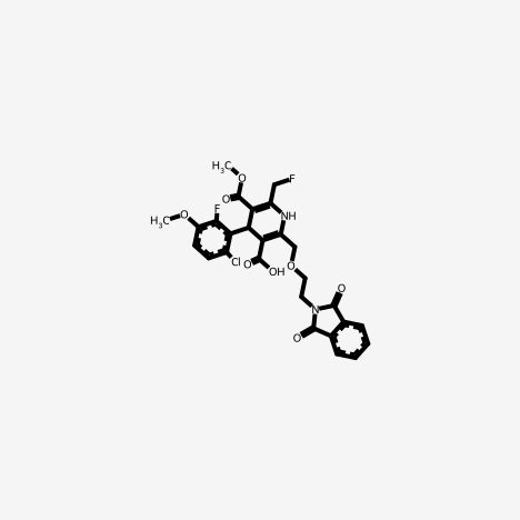 COC(=O)C1=C(CF)NC(COCCN2C(=O)c3ccccc3C2=O)=C(C(=O)O)C1c1c(Cl)ccc(OC)c1F